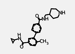 Cc1ccc(C(=O)NC2CC2)cc1-c1ccc(C(=O)NCC2CCNCC2)cc1